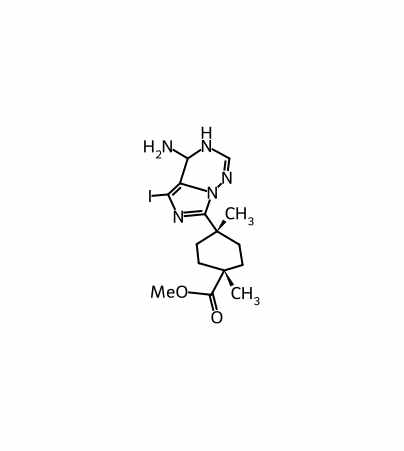 COC(=O)[C@]1(C)CC[C@](C)(c2nc(I)c3n2N=CNC3N)CC1